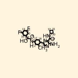 Cc1cc(NC(=O)[C@@H](O)c2cc(F)cc(F)c2)ccc1-c1cnc(N)c(C(=O)NC2CCC2)n1